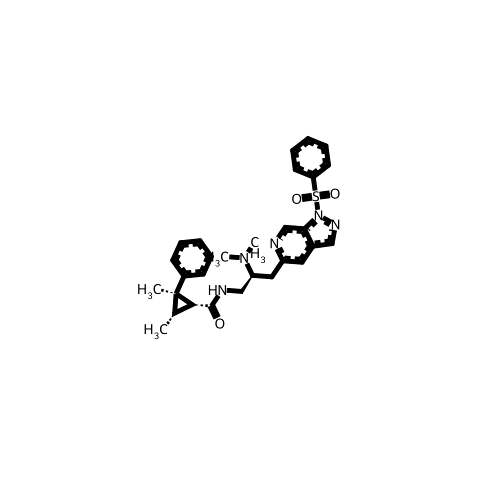 C[C@H]1[C@@H](C(=O)NC[C@H](Cc2cc3cnn(S(=O)(=O)c4ccccc4)c3cn2)N(C)C)[C@]1(C)c1ccccc1